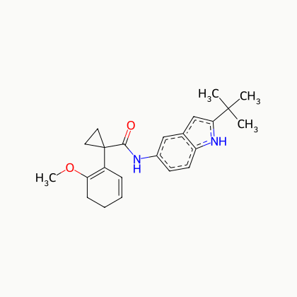 COC1=C(C2(C(=O)Nc3ccc4[nH]c(C(C)(C)C)cc4c3)CC2)C=CCC1